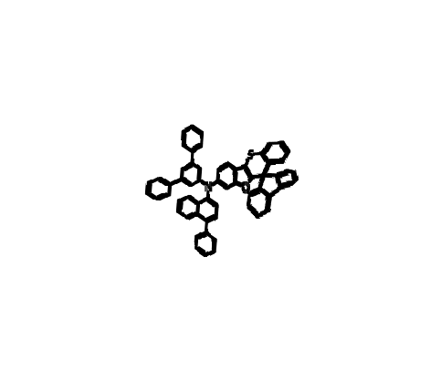 c1ccc(-c2cc(-c3ccccc3)cc(N(c3ccc4c5c(oc4c3)C3(c4ccccc4S5)c4ccccc4-c4ccccc43)c3ccc(-c4ccccc4)c4ccccc34)c2)cc1